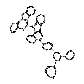 c1ccc(-c2cc(-c3ccccc3)cc(-c3ccc(-c4cc5c6ccccc6n(-c6nc7ccccc7c7nc8ccccc8n67)c5c5ccccc45)cc3)c2)cc1